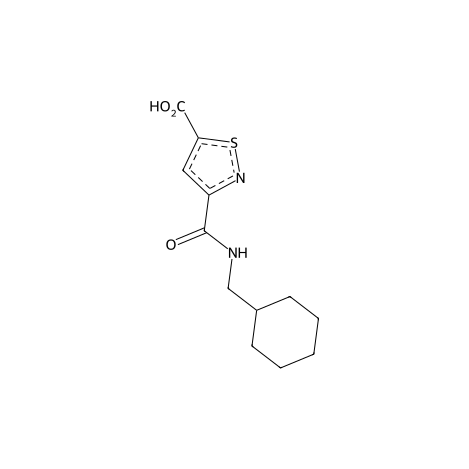 O=C(NCC1CCCCC1)c1cc(C(=O)O)sn1